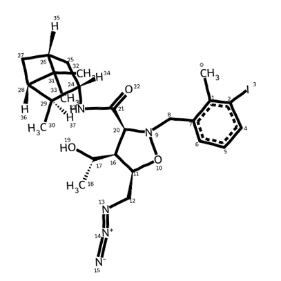 Cc1c(I)cccc1CN1O[C@@H](CN=[N+]=[N-])[C@@H]([C@H](C)O)[C@H]1C(=O)N[C@H]1C[C@H]2C[C@@H]([C@@H]1C)C2(C)C